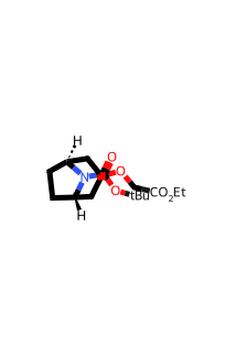 CCOC(=O)COC1C[C@@H]2CC[C@@H](C1)N2C(=O)OC(C)(C)C